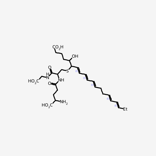 CC/C=C/C=C/CC/C=C/C=C/C=C/C(SCC(NC(=O)CCC(N)C(=O)O)C(=O)NCC(=O)O)C(O)CCCC(=O)O